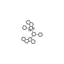 c1ccc(-c2cc(-c3nc(-c4ccccc4)c4c(ccc5ccccc54)n3)cc(-c3cc4c5ccccc5ccc4c4ccccc34)c2)cc1